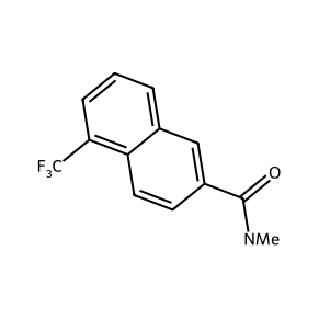 CNC(=O)c1ccc2c(C(F)(F)F)cccc2c1